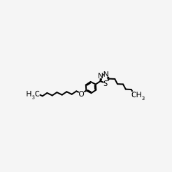 CCCCCCCCCOc1ccc(-c2nnc(CCCCCC)s2)cc1